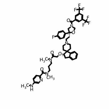 CNc1ccc(C(=O)N(C)CCCN(C)C(=O)CO[C@H]2Cc3ccccc3C23CCN(CC[C@]2(c4ccc(F)cc4)CN(C(=O)c4cc(C(F)(F)F)cc(C(F)(F)F)c4)CO2)CC3)nc1